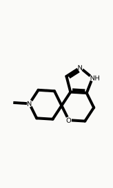 CN1CCC2(CC1)OCCc1[nH]ncc12